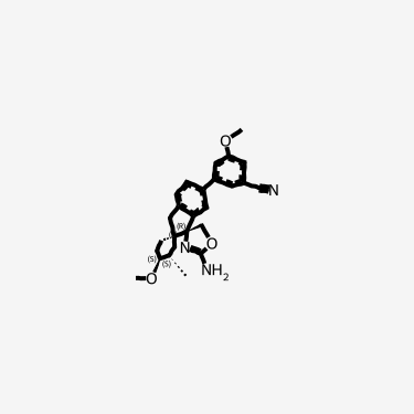 COc1cc(C#N)cc(-c2ccc3c(c2)[C@@]2(COC(N)=N2)[C@]2(CC[C@H](OC)[C@@H](C)C2)C3)c1